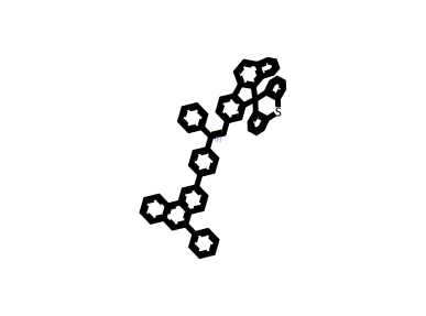 C(=C(/c1ccccc1)c1ccc(-c2ccc3c(-c4ccccc4)cc4ccccc4c3c2)cc1)/c1ccc2c(c1)C1(c3ccccc3Sc3ccccc31)c1c-2ccc2ccccc12